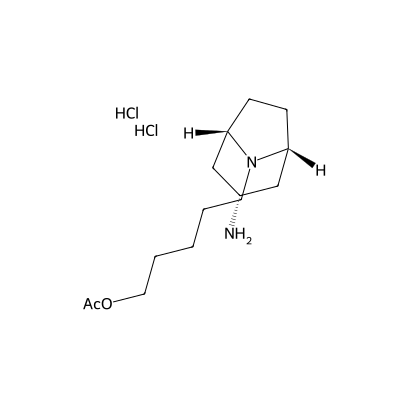 CC(=O)OCCCCCN1[C@@H]2CC[C@H]1C[C@@H](N)C2.Cl.Cl